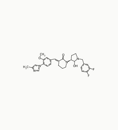 COc1cc(C=C2CCCN([C@H]3CCN(Cc4ccc(F)c(F)c4)C3O)C2=O)ccc1-n1cnc(C)c1